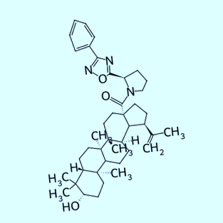 C=C(C)[C@@H]1CC[C@]2(C(=O)N3CCC[C@@H]3c3nc(-c4ccccc4)no3)CC[C@]3(C)[C@H](CCC4[C@@]5(C)CC[C@H](O)C(C)(C)[C@@H]5CC[C@]43C)C12